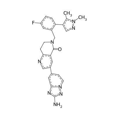 Cc1c(-c2ccc(F)cc2CN2CCc3ncc(-c4ccn5nc(N)nc5c4)cc3C2=O)cnn1C